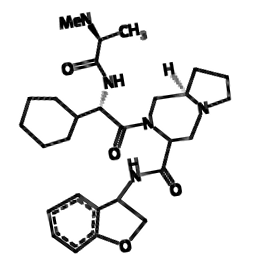 CN[C@@H](C)C(=O)N[C@H](C(=O)N1C[C@H]2CCCN2CC1C(=O)NC1COc2ccccc21)C1CCCCC1